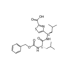 CC(C)C[C@H](NC(=O)OCc1ccccc1)C(=O)N[C@H](CC(C)C)c1csc(C(=O)O)n1